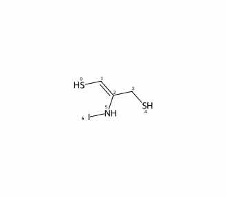 S/C=C(/CS)NI